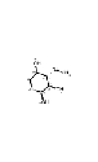 CO[C@@H]1[C@@H](O)[C@@H](O)OC[C@H]1O